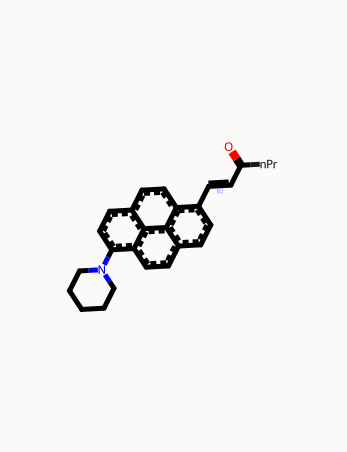 CCCC(=O)/C=C/c1ccc2ccc3c(N4CCCCC4)ccc4ccc1c2c43